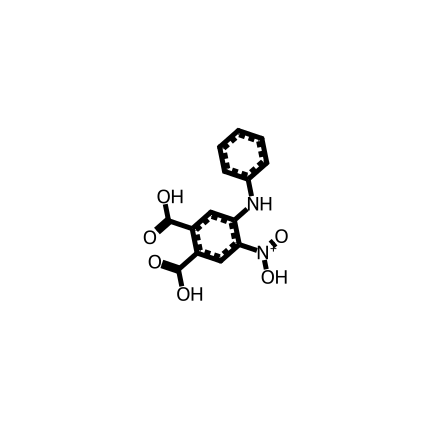 O=C(O)c1cc(Nc2ccccc2)c([N+](=O)O)cc1C(=O)O